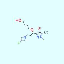 CCc1c(Br)c(C(CCN2CC(F)C2)OCCCCO)nn1C